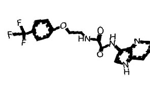 O=C(NCCOc1ccc(C(F)(F)F)cc1)C(=O)Nc1c[nH]c2cccnc12